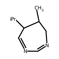 CC(C)C1C=NC=NCC1C